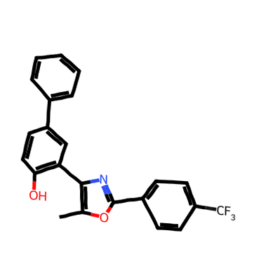 Cc1oc(-c2ccc(C(F)(F)F)cc2)nc1-c1cc(-c2ccccc2)ccc1O